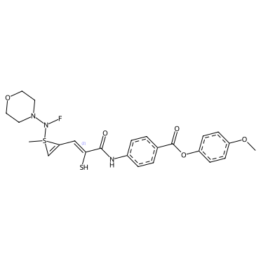 COc1ccc(OC(=O)c2ccc(NC(=O)/C(S)=C/C3=CS3(C)N(F)N3CCOCC3)cc2)cc1